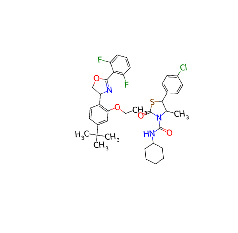 CC1C(c2ccc(Cl)cc2)SC(=O)N1C(=O)NC1CCCCC1.CCOc1cc(C(C)(C)C)ccc1C1COC(c2c(F)cccc2F)=N1